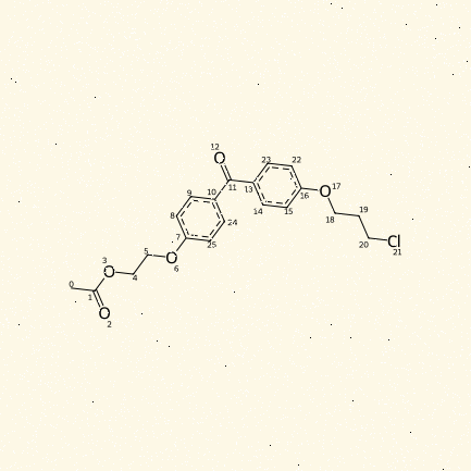 CC(=O)OCCOc1ccc(C(=O)c2ccc(OCCCCl)cc2)cc1